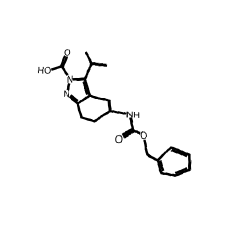 CC(C)c1c2c(nn1C(=O)O)CCC(NC(=O)OCc1ccccc1)C2